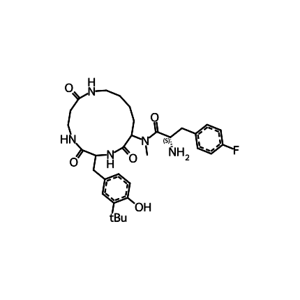 CN(C(=O)[C@@H](N)Cc1ccc(F)cc1)C1CCCCNC(=O)CCNC(=O)C(Cc2ccc(O)c(C(C)(C)C)c2)NC1=O